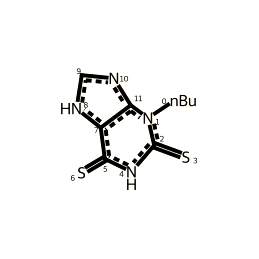 CCCCn1c(=S)[nH]c(=S)c2[nH]cnc21